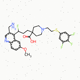 COc1ccc2ncc(CN)c(C(F)CCC3(C(=O)O)CCN(CCSc4cc(F)c(F)c(F)c4)CC3)c2c1